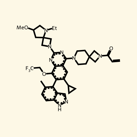 C=CC(=O)N1CC2(CCN(c3nc(N4CC5(CC(OC)CN5CC)C4)nc4c(OCC(F)(F)F)c(-c5c(C)ccc6[nH]ncc56)c(C5CC5)cc34)CC2)C1